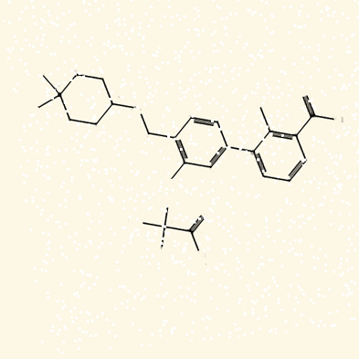 Cc1c(C(N)=O)cccc1-c1ccc(CNC2CCC(C)(C)CC2)c(F)c1.O=C(O)C(F)(F)F